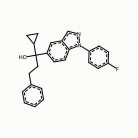 OC(CCc1ccccc1)(c1ccc2c(cnn2-c2ccc(F)cc2)c1)C1CC1